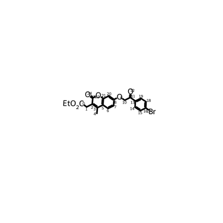 CCOC(=O)Cc1c(C)c2ccc(OCC(=O)c3ccc(Br)cc3)cc2oc1=O